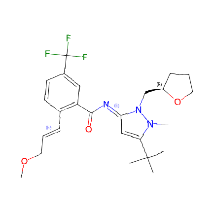 COC/C=C/c1ccc(C(F)(F)F)cc1C(=O)/N=c1\cc(C(C)(C)C)n(C)n1C[C@H]1CCCO1